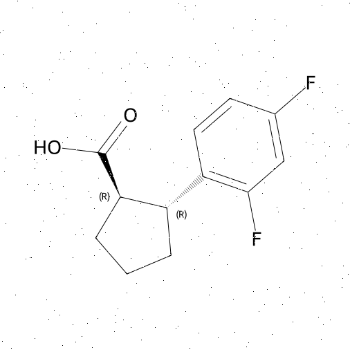 O=C(O)[C@@H]1CCC[C@H]1c1ccc(F)cc1F